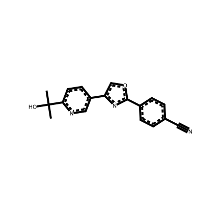 CC(C)(O)c1ccc(-c2coc(-c3ccc(C#N)cc3)n2)cn1